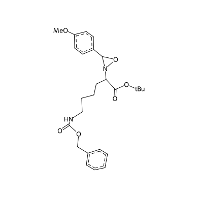 COc1ccc(C2ON2C(CCCCNC(=O)OCc2ccccc2)C(=O)OC(C)(C)C)cc1